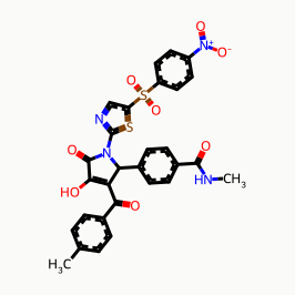 CNC(=O)c1ccc(C2C(C(=O)c3ccc(C)cc3)=C(O)C(=O)N2c2ncc(S(=O)(=O)c3ccc([N+](=O)[O-])cc3)s2)cc1